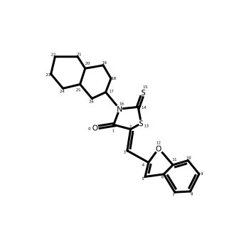 O=C1/C(=C/c2cc3ccccc3o2)SC(=S)N1C1CCC2CCCCC2C1